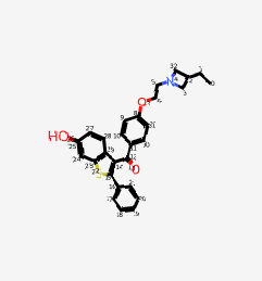 CCC1CN(CCOc2ccc(C(=O)c3c(-c4ccccc4)sc4cc(O)ccc34)cc2)C1